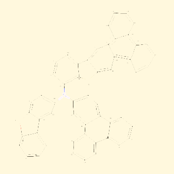 c1ccc2c(c1)oc1ccc(N(c3ccc4c5ccccc5c5ccccc5c4c3)c3cccc4c3sc3cc5c6ccccc6c6ccccc6c5cc34)cc12